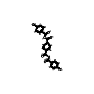 O=C(OC(=O)c1ccc(C(=O)OC(=O)c2ccc(Cl)cc2)cc1)c1ccc(Cl)cc1